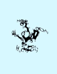 CCN(CC)CC.COc1ccc2c(c1)N(CCCCS(=O)(=O)O)C(=C1SC(=S)N(CCOCCO)C1=O)S2